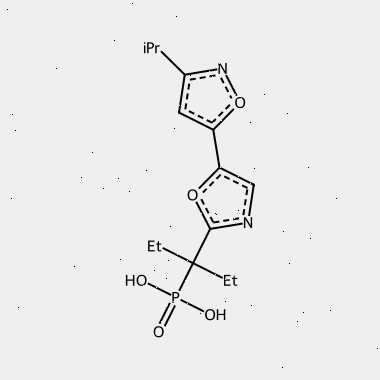 CCC(CC)(c1ncc(-c2cc(C(C)C)no2)o1)P(=O)(O)O